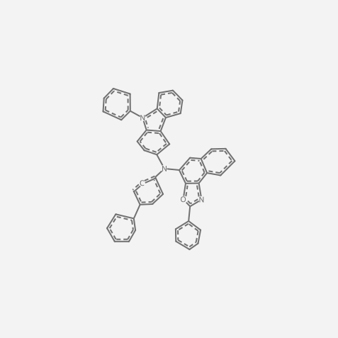 c1ccc(-c2ccc(N(c3ccc4c(c3)c3ccccc3n4-c3ccccc3)c3cc4ccccc4c4nc(-c5ccccc5)oc34)cc2)cc1